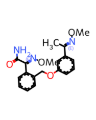 CO/N=C(\C)c1cccc(OCc2ccccc2/C(=N\OC)C(N)=O)c1